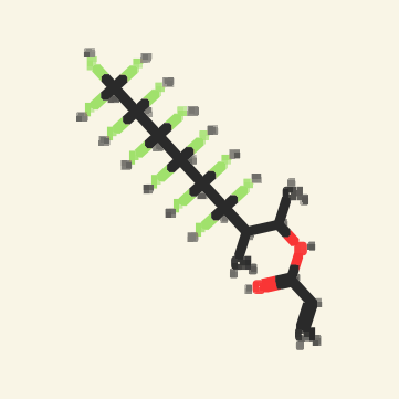 C=CC(=O)OC(C)C(C)C(F)(F)C(F)(F)C(F)(F)C(F)(F)C(F)(F)C(F)(F)F